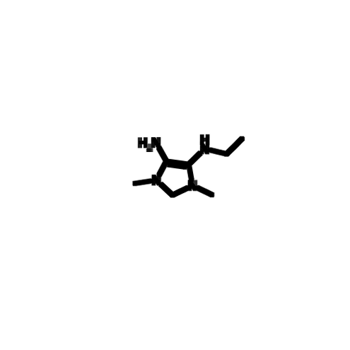 CCNC1=C(N)N(C)CN1C